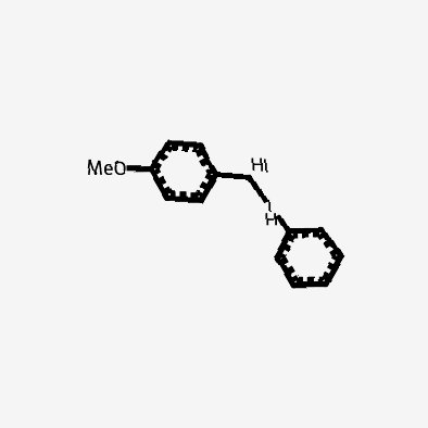 COc1ccc(C[IH]c2ccccc2)cc1.I